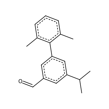 Cc1cccc(C)c1-c1cc(C=O)cc(C(C)C)c1